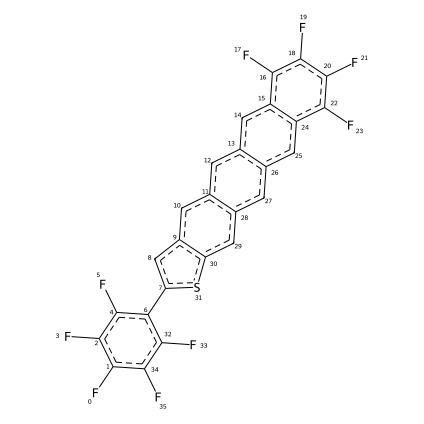 Fc1c(F)c(F)c(-c2cc3cc4cc5cc6c(F)c(F)c(F)c(F)c6cc5cc4cc3s2)c(F)c1F